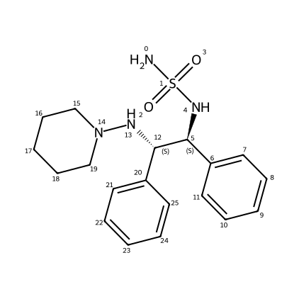 NS(=O)(=O)N[C@@H](c1ccccc1)[C@@H](NN1CCCCC1)c1ccccc1